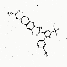 C[C](C)CN1CCc2cc(NC(=O)c3cc(C(F)(F)F)nn3-c3cccc(C#N)c3)c(F)cc2C1